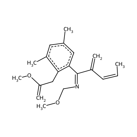 C=C(Cc1c(C)cc(C)cc1/C(=N\COC)C(=C)/C=C\C)OC